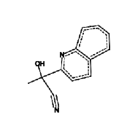 CC(O)(C#N)c1ccc2ccccc2n1